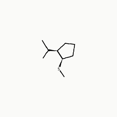 CS[C@@H]1CCC[C@@H]1C(C)C